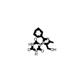 Cc1nc(-c2ccccc2)n(-n2c(=O)[nH]c(=O)[nH]c2=O)c1CO